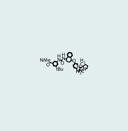 CNC(=O)c1cc(NC(=O)N[C@H]2CC[C@@H](Oc3ccc4nnc(C5(C)CCCN5C)n4c3)c3ccccc32)cc(C(C)(C)C)c1